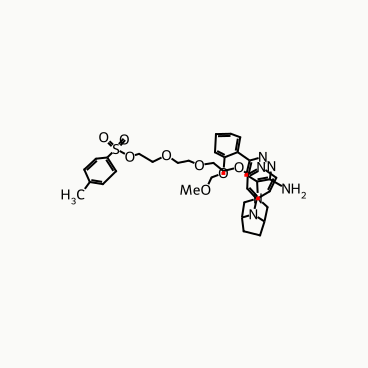 COCOc1ccccc1-c1cc(N2CC3CCC(C2)N3c2ccnc(OCCOCCOCCOS(=O)(=O)c3ccc(C)cc3)c2)c(N)nn1